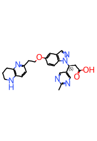 Cc1ncc([C@H](CC(=O)O)n2ncc3cc(OCCc4ccc5c(n4)CCCN5)ccc32)cn1